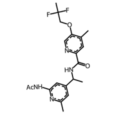 CC(=O)Nc1cc(C(C)NC(=O)c2cc(C)c(OCC(C)(F)F)cn2)cc(C)n1